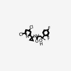 C[C@@](O)(CC(=O)NC1(c2cc(Cl)cc(Cl)n2)CC1)c1ccc(F)cc1F